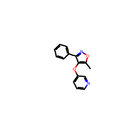 Cc1onc(-c2ccccc2)c1Oc1cccnc1